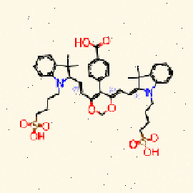 CC1(C)/C(=C\C=C2/OCOC(/C=C/C3N(CCCCS(=O)(=O)O)c4ccccc4C3(C)C)=C2c2ccc(C(=O)O)cc2)N(CCCCS(=O)(=O)O)c2ccccc21